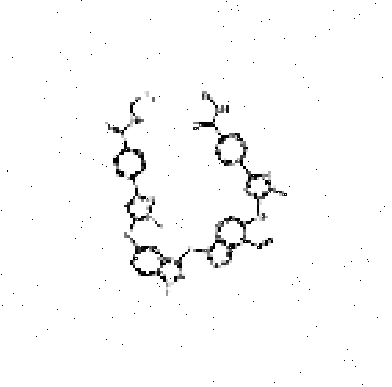 C=Cc1c(Nc2nc(-c3ccc(C(=O)NCC)cc3)nn2C)ccc2c1cnn2Cc1n[nH]c2ccc(Nc3nc(-c4ccc(C(=O)NCC(F)(F)F)cc4)nn3C)cc12